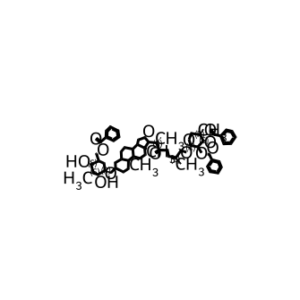 C[C@@H](CCC(=O)[C@@H](C)C1C(=O)CC2C3CCC4CC(O[C@@H]5CC(COC(=O)c6ccccc6)[C@H](O)[C@H](C)C5O)CCC4(C)C3CCC21C)CO[C@@H]1OC[C@@H](C)[C@H](OC(=O)c2ccccc2)C1OC(=O)c1ccccc1